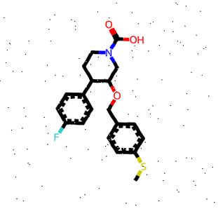 CSc1ccc(COC2CN(C(=O)O)CCC2c2ccc(F)cc2)cc1